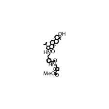 C=C(C)[C@@H]1CC[C@]2(C(=O)NCCc3cccc(C(=O)NCc4ccc(C(=O)OC)o4)c3)CC[C@]3(C)C(CCC4[C@@]5(C)CC[C@H](O)C(C)(C)C5CC[C@]43C)C12